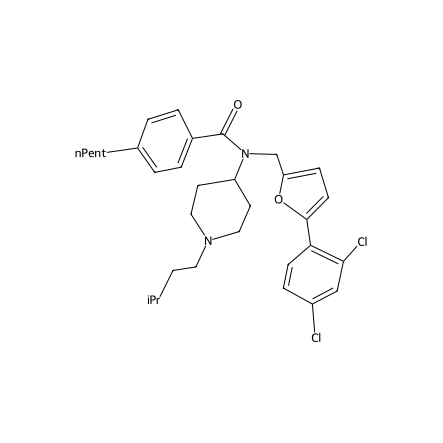 CCCCCc1ccc(C(=O)N(Cc2ccc(-c3ccc(Cl)cc3Cl)o2)C2CCN(CCC(C)C)CC2)cc1